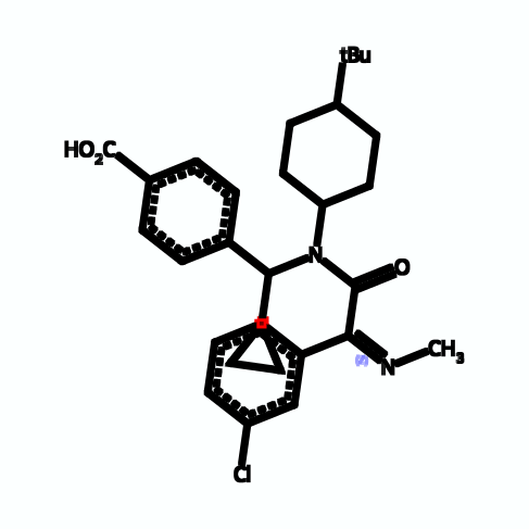 C/N=C(\C(=O)N(C1CCC(C(C)(C)C)CC1)C(c1ccc(C(=O)O)cc1)C1CC1)c1cccc(Cl)c1